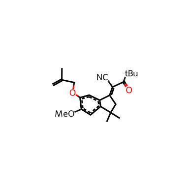 C=C(C)COc1cc2c(cc1OC)C(C)(C)C/C2=C(/C#N)C(=O)C(C)(C)C